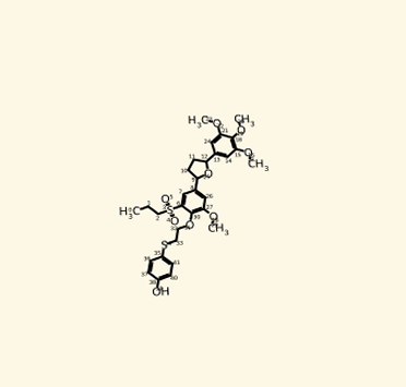 CCCS(=O)(=O)c1cc(C2CCC(c3cc(OC)c(OC)c(OC)c3)O2)cc(OC)c1OCCSc1ccc(O)cc1